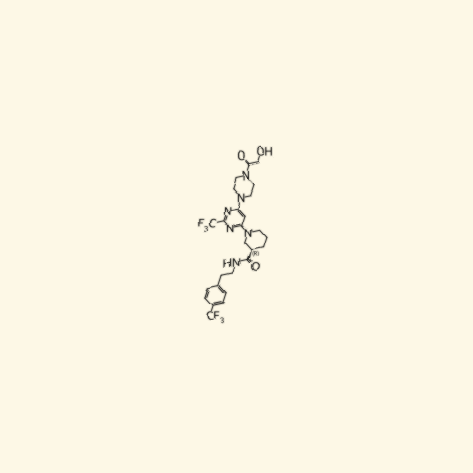 O=C(NCCc1ccc(C(F)(F)F)cc1)[C@@H]1CCCN(c2cc(N3CCN(C(=O)CO)CC3)nc(C(F)(F)F)n2)C1